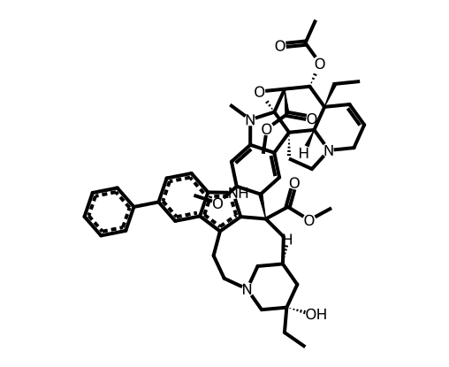 CC[C@]1(O)C[C@H]2CN(CCc3c([nH]c4ccc(-c5ccccc5)cc34)[C@@](C(=O)OC)(C3C=C4C(=CC3OC)N(C)[C@@]35O[C@]3(C(=O)OC)[C@H](OC(C)=O)[C@]3(CC)C=CCN6CC[C@]45[C@@H]63)C2)C1